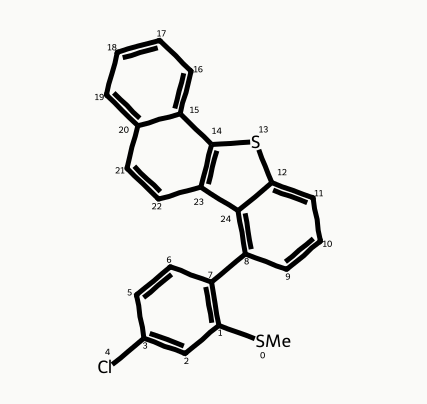 CSc1cc(Cl)ccc1-c1cccc2sc3c4ccccc4ccc3c12